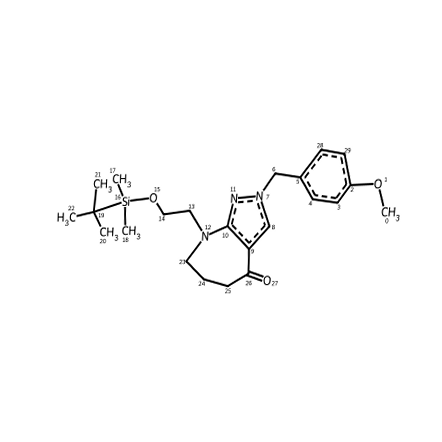 COc1ccc(Cn2cc3c(n2)N(CCO[Si](C)(C)C(C)(C)C)CCCC3=O)cc1